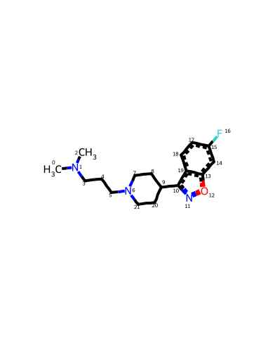 CN(C)CCCN1CCC(c2noc3cc(F)ccc23)CC1